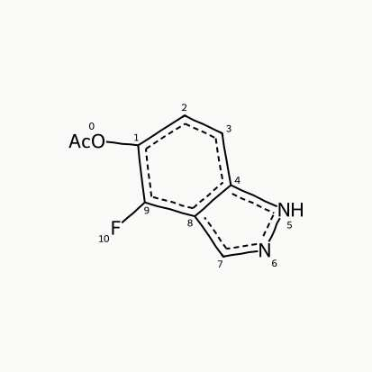 CC(=O)Oc1ccc2[nH]ncc2c1F